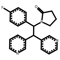 O=C1CCCN1C(c1ccc(F)cc1)C(c1cccnc1)c1cccnc1